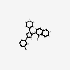 Cc1cccc(-c2cn(C3=CCOCC3)c(-c3ccc4ccccc4c3F)n2)c1